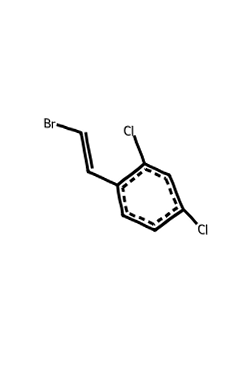 Clc1ccc(/C=C/Br)c(Cl)c1